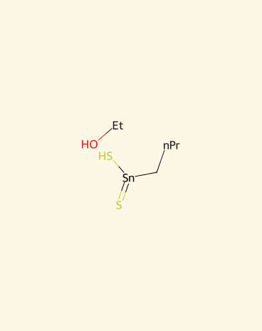 CCC[CH2][Sn](=[S])[SH].CCO